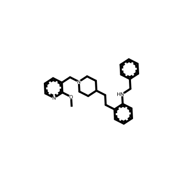 COc1ncccc1CN1CCC(CCc2ccccc2NCc2ccccc2)CC1